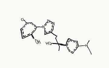 CN(C)c1ccc(C(C)(O)Cc2cn(-c3cc(Cl)ccc3O)nn2)cc1